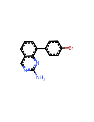 Nc1ncc2cccc(-c3ccc(Br)cc3)c2n1